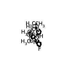 COc1nc(S(C)(=O)=O)nc(N[C@@H]2CCCN(C(=O)OC(C)(C)C)C2)c1-c1nc2cc(F)ccc2s1